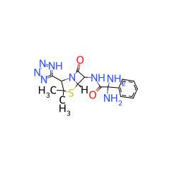 CC1(C)S[C@H]2C(NC(=O)C(N)(N)c3ccccc3)C(=O)N2C1c1nnn[nH]1